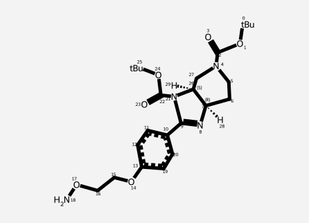 CC(C)(C)OC(=O)N1CC[C@H]2N=C(c3ccc(OCCON)cc3)N(C(=O)OC(C)(C)C)[C@H]2C1